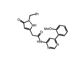 COc1ccccc1-c1cc(NC(=O)Cc2cc(=O)n(CC(C)C)[nH]2)ncn1